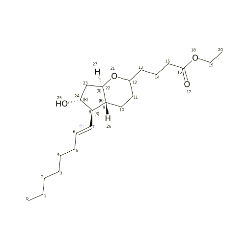 CCCCCC/C=C/[C@@H]1[C@H]2CCC(CCCC(=O)OCC)O[C@@H]2C[C@H]1O